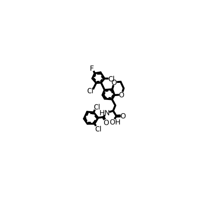 O=C(NC(Cc1ccc(-c2c(Cl)cc(F)cc2Cl)c2c1OCCO2)C(=O)O)c1c(Cl)cccc1Cl